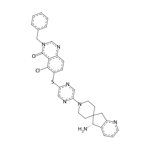 N[C@H]1c2cccnc2CC12CCN(c1cnc(Sc3ccc4ncn(Cc5ccccc5)c(=O)c4c3Cl)cn1)CC2